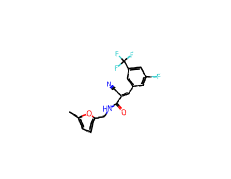 Cc1ccc(CNC(=O)/C(C#N)=C/c2cc(F)cc(C(F)(F)F)c2)o1